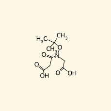 CC(C)(C)ON(CC(=O)O)C(=O)CC(=O)O